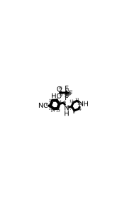 N#Cc1ccc(CNC2CCNCC2)cc1.O=C(O)C(F)(F)F